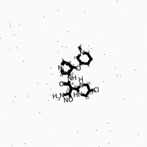 CN1CCCC(Oc2ccncc2NC(=O)C(C(N)N=O)C2NCC(Cl)CN2)C1